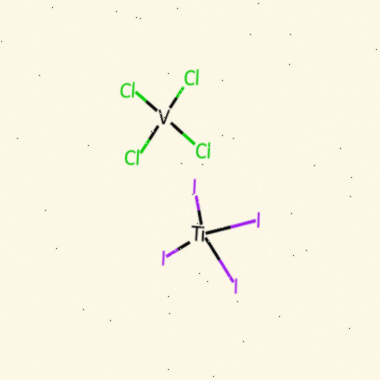 [Cl][V]([Cl])([Cl])[Cl].[I][Ti]([I])([I])[I]